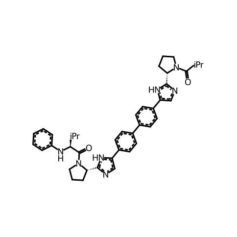 CC(C)C(=O)N1CCC[C@H]1c1ncc(-c2ccc(-c3ccc(-c4cnc([C@@H]5CCCN5C(=O)[C@@H](Nc5ccccc5)C(C)C)[nH]4)cc3)cc2)[nH]1